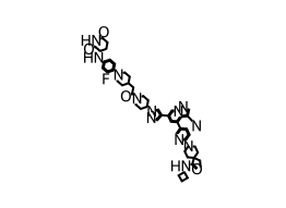 CCC1(C(=O)NC2CCC2)CCN(c2ccc(-c3cc(-c4cnn(C5CCN(C(=O)CC6CCN(c7ccc(NC8CCC(=O)NC8=O)cc7F)CC6)CC5)c4)cn4ncc(C#N)c34)cn2)CC1